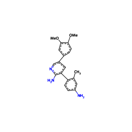 COc1ccc(-c2cnc(N)c(-c3ccc(N)cc3C)c2)cc1OC